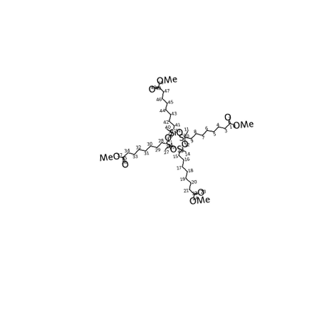 COC(=O)CCCCCCC[Si]1(C)O[Si](C)(CCCCCCCC(=O)OC)O[Si](C)(CCCCCCCC(=O)OC)O[Si](C)(CCCCCCCC(=O)OC)O1